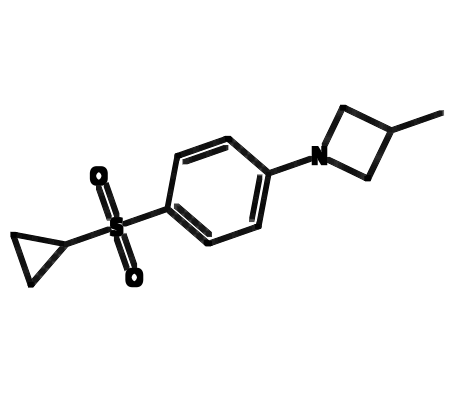 CC1CN(c2ccc(S(=O)(=O)C3CC3)cc2)C1